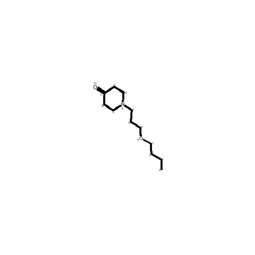 CCCCOCCCN1CCC(=O)CC1